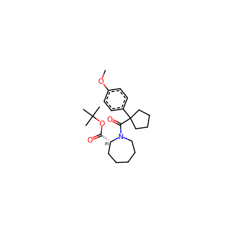 COc1ccc(C2(C(=O)N3CCCCC[C@@H]3C(=O)OC(C)(C)C)CCCC2)cc1